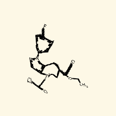 CCOC(=O)C1Cc2c(cnn2-c2ccc(F)cc2)N(C(=O)Cl)C1